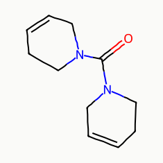 O=C(N1CC=CCC1)N1CC=CCC1